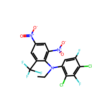 CCN(c1cc(F)c(Cl)c(F)c1Cl)c1c([N+](=O)[O-])cc([N+](=O)[O-])cc1C(F)(F)F